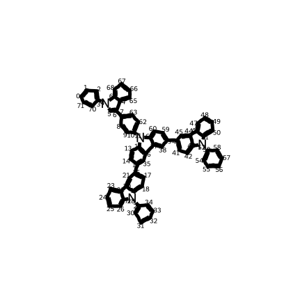 c1ccc(-n2cc(-c3ccc(-n4c5ccc(-c6ccc7c(c6)c6ccccc6n7-c6ccccc6)cc5c5cc(-c6ccc7c(c6)c6ccccc6n7-c6ccccc6)ccc54)cc3)c3ccccc32)cc1